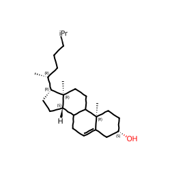 CC(C)CCC[C@@H](C)[C@H]1CC[C@H]2C3CC=C4C[C@@H](O)CC[C@]4(C)C3CC[C@]12C